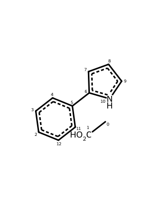 CC(=O)O.c1ccc(-c2ccc[nH]2)cc1